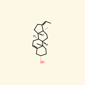 C/C=C1/CC[C@H]2[C@@H]3CC=C4C[C@@H](O)CCC4(C)[C@H]3CC[C@]12C